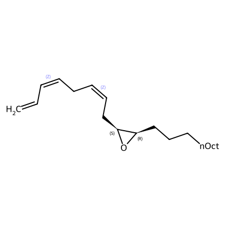 C=C/C=C\C/C=C\C[C@@H]1O[C@@H]1CCCCCCCCCCC